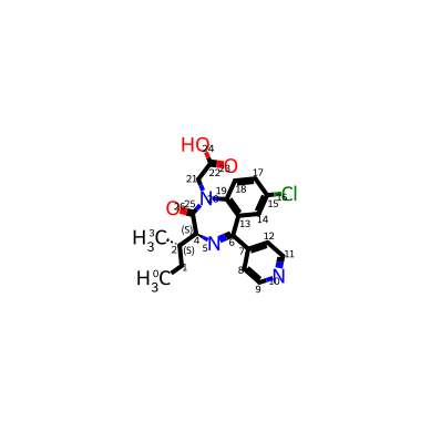 CC[C@H](C)[C@@H]1N=C(c2ccncc2)c2cc(Cl)ccc2N(CC(=O)O)C1=O